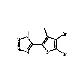 Cc1c(-c2nnn[nH]2)sc(Br)c1Br